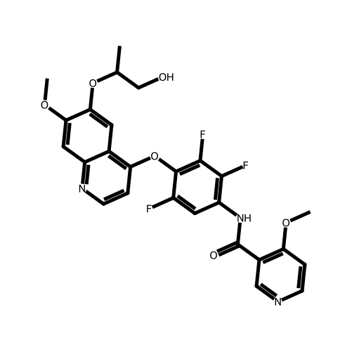 COc1cc2nccc(Oc3c(F)cc(NC(=O)c4cnccc4OC)c(F)c3F)c2cc1OC(C)CO